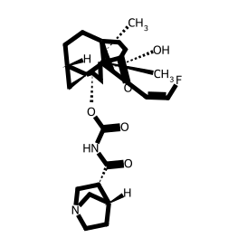 C[C@H]1[C@H](O)[C@](C)(/C=C\F)C[C@@H](OC(=O)NC(=O)[C@H]2CN3CC[C@@H]2C3)[C@]23C[C@@H]2CCC12CCC(=O)C23